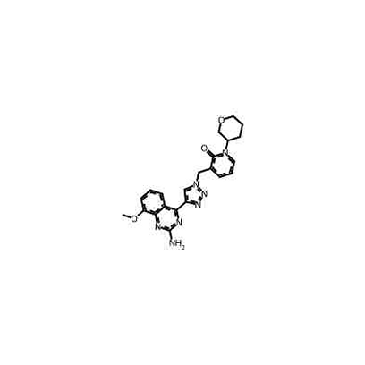 COc1cccc2c(-c3cn(Cc4cccn(C5CCCOC5)c4=O)nn3)nc(N)nc12